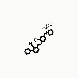 N#Cc1c(/C=C/c2ccc(CN3CCCC[C@H]3C(=O)O)cc2Cl)cccc1-c1ccccc1